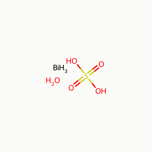 O.O=S(=O)(O)O.[BiH3]